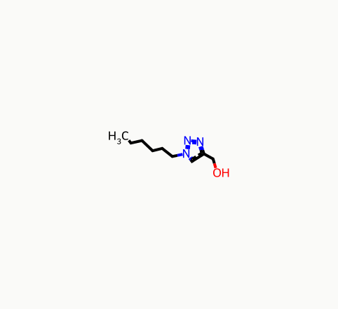 CCCCCCn1cc(CO)nn1